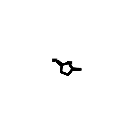 N=C1CCC(=O)N1